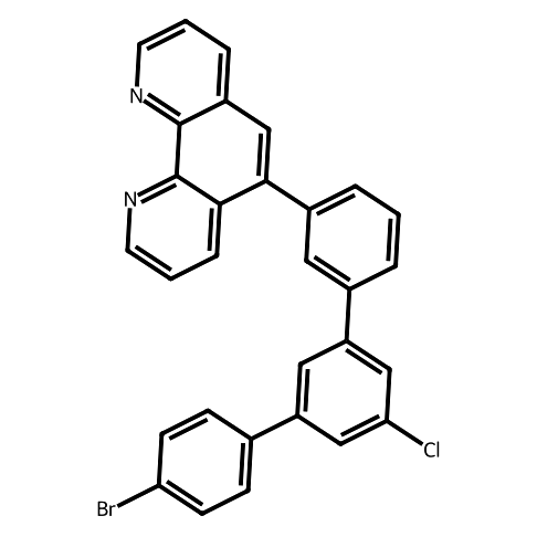 Clc1cc(-c2ccc(Br)cc2)cc(-c2cccc(-c3cc4cccnc4c4ncccc34)c2)c1